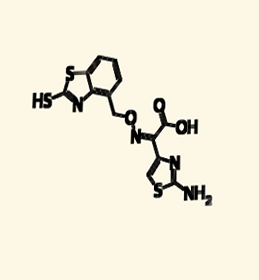 Nc1nc(C(=NOCc2cccc3sc(S)nc23)C(=O)O)cs1